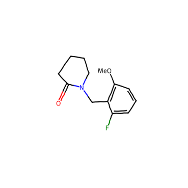 COc1cccc(F)c1CN1CCCCC1=O